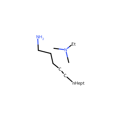 CCCCCCCCCCCCN.CCN(C)C